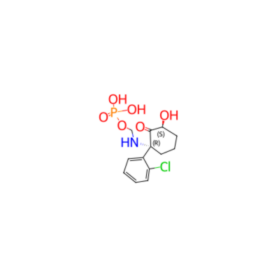 O=C1[C@@H](O)CCC[C@@]1(NCOP(=O)(O)O)c1ccccc1Cl